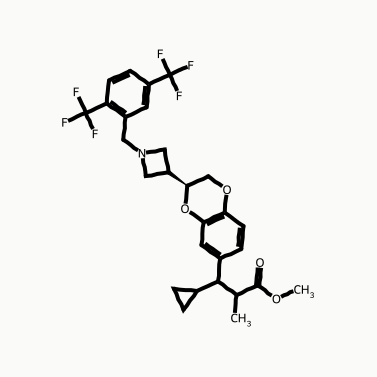 COC(=O)C(C)C(c1ccc2c(c1)O[C@@H](C1CN(Cc3cc(C(F)(F)F)ccc3C(F)(F)F)C1)CO2)C1CC1